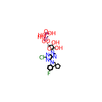 O=P(O)(O)CP(=O)(O)OC[C@H]1O[C@@H](n2cnc3c(N4CC5(CCCC5)c5cc(F)ccc54)nc(Cl)nc32)[C@@H](O)C1O